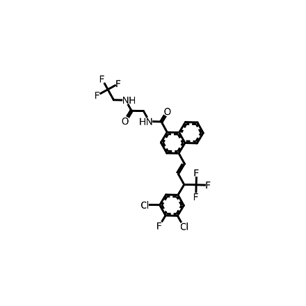 O=C(CNC(=O)c1ccc(/C=C/C(c2cc(Cl)c(F)c(Cl)c2)C(F)(F)F)c2ccccc12)NCC(F)(F)F